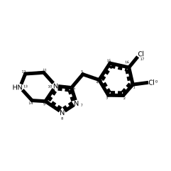 Clc1ccc(Cc2nnc3n2CCNC3)cc1Cl